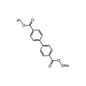 CSOC(=O)c1ccc(-c2ccc(C(=O)OC(C)C)cc2)cc1